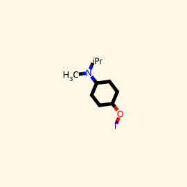 CC(C)N(C)C1CCC(OI)CC1